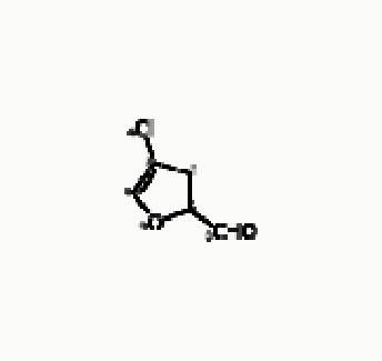 O=CC1CC(Cl)=CO1